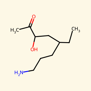 CCC(CCCN)CC(O)C(C)=O